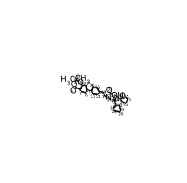 CC1(C)OC(=O)c2ccc(-c3ccc(CCN(C[C@H](OC4CCCCO4)c4ccccc4)C(=O)O)cc3)cc2O1